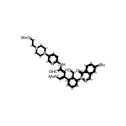 CN/C=C(\C=C(/C=O)Nc1ccc(N2CCN(CCOC)CC2)cn1)c1cccc(-n2ncc3cc(C(C)(C)C)ccc3c2=O)c1CO